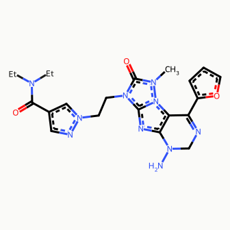 CCN(CC)C(=O)c1cnn(CCn2c(=O)n(C)n3c4c(nc23)N(N)CN=C4c2ccco2)c1